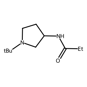 CCC(=O)NC1CCN(C(C)(C)C)C1